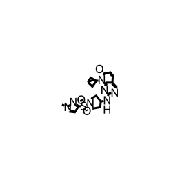 Cn1ccc(S(=O)(=O)N2CCC(Nc3ncc4ccc(=O)n(C56CC(C5)C6)c4n3)CC2)n1